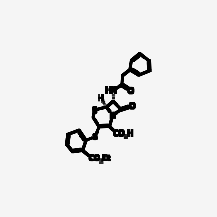 CCOC(=O)c1ccccc1SC1=C(C(=O)O)N2C(=O)[C@@H](NC(=O)Cc3ccccc3)[C@@H]2SC1